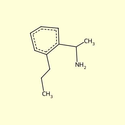 CCCc1ccccc1C(C)N